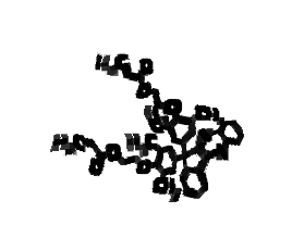 C=CC(=O)OCCOc1c(C)cc(C2(c3cc(C)c(OCCOC(=O)C=C)c(C)c3)c3ccccc3-c3nc4ccccc4nc32)cc1C